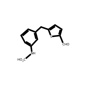 O=Cc1ccc(Cc2cccc(NC(=O)O)c2)s1